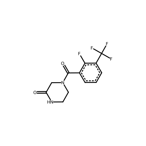 O=C1CN(C(=O)c2cccc(C(F)(F)F)c2F)CCN1